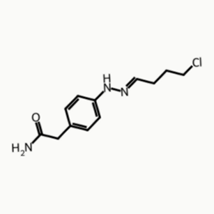 NC(=O)Cc1ccc(NN=CCCCCl)cc1